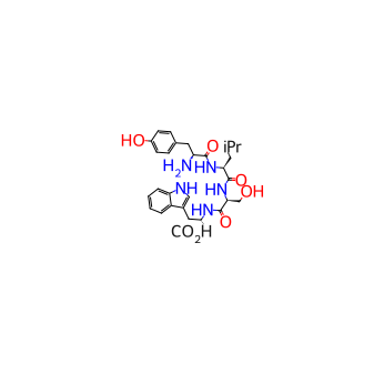 CC(C)C[C@H](NC(=O)[C@@H](N)Cc1ccc(O)cc1)C(=O)N[C@@H](CO)C(=O)N[C@@H](Cc1c[nH]c2ccccc12)C(=O)O